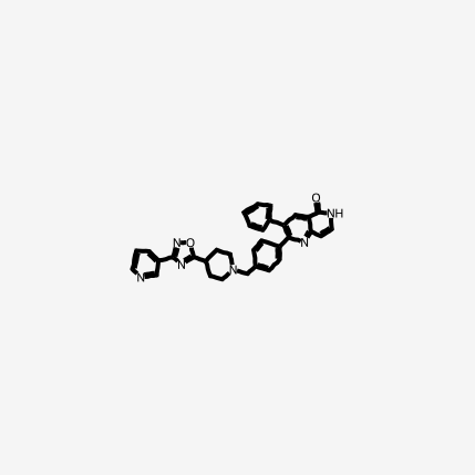 O=c1[nH]ccc2nc(-c3ccc(CN4CCC(c5nc(-c6cccnc6)no5)CC4)cc3)c(-c3ccccc3)cc12